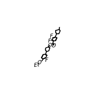 CCOCc1ccc(C2CCC(OC(=O)c3ccc(C4CCC(C)CC4)c(F)c3F)CC2)cc1F